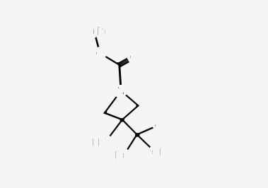 CCC(C)(C)C1(O)CN(C(=O)OC(C)(C)C)C1